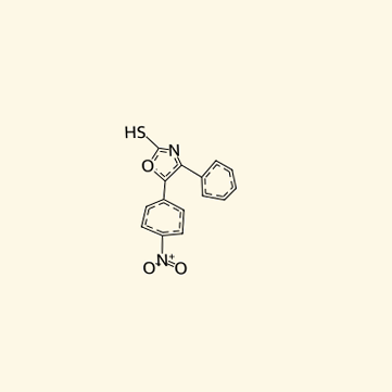 O=[N+]([O-])c1ccc(-c2oc(S)nc2-c2ccccc2)cc1